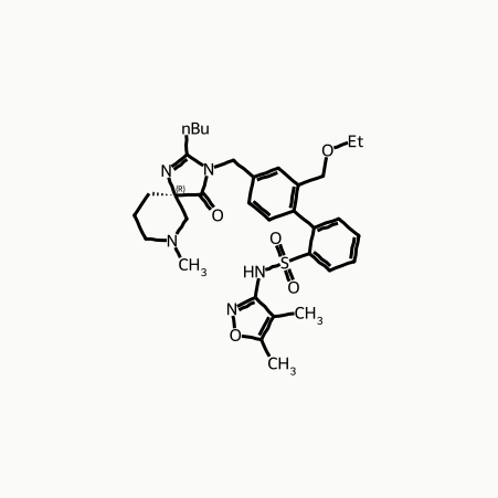 CCCCC1=N[C@@]2(CCCN(C)C2)C(=O)N1Cc1ccc(-c2ccccc2S(=O)(=O)Nc2noc(C)c2C)c(COCC)c1